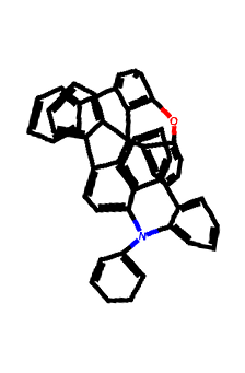 C1=CC(N(c2ccc3c(c2)C2(c4ccccc4Oc4cccc(-c5ccccc5)c42)c2ccccc2-3)c2ccccc2-c2ccccc2)=CCC1